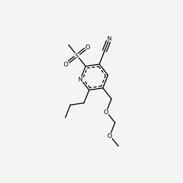 CCCc1nc(S(C)(=O)=O)c(C#N)cc1COCOC